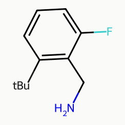 CC(C)(C)c1cccc(F)c1CN